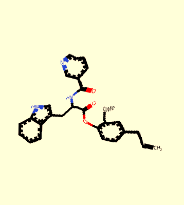 C=CCc1ccc(OC(=O)C(Cc2c[nH]c3ccccc23)NC(=O)c2cccnc2)c(OC)c1